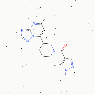 Cc1cc(C2CCCN(C(=O)c3cnn(C)c3C)C2)n2ncnc2n1